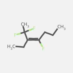 CCCC(F)=C(CC)C(C)(F)F